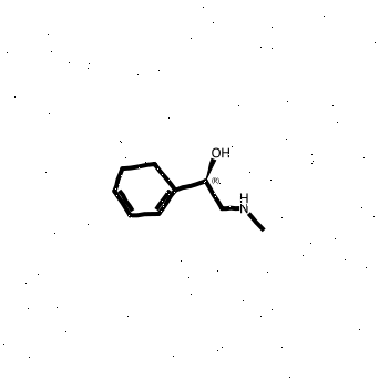 CNC[C@H](O)C1=CC=CCC1